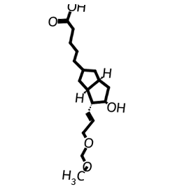 COCOC/C=C/[C@@H]1[C@H]2CC(CCCCC(=O)O)C[C@H]2C[C@H]1O